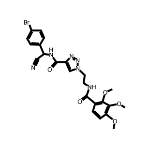 COc1ccc(C(=O)NCCn2cc(C(=O)NC(C#N)c3ccc(Br)cc3)nn2)c(OC)c1OC